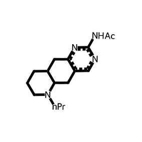 CCCN1CCCC2Cc3nc(NC(C)=O)ncc3CC21